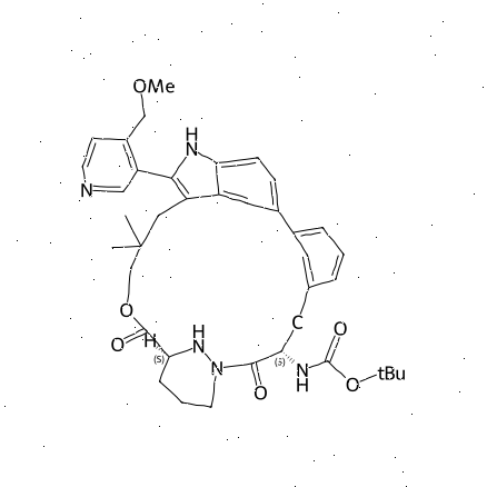 COCc1ccncc1-c1[nH]c2ccc3cc2c1CC(C)(C)COC(=O)[C@@H]1CCCN(N1)C(=O)[C@@H](NC(=O)OC(C)(C)C)Cc1cccc-3c1